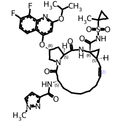 CC(C)Oc1cc(O[C@@H]2C[C@H]3C(=O)N[C@]4(C(=O)NS(=O)(=O)C5(C)CC5)C[C@H]4/C=C\CCCCC[C@H](NC(=O)c4ccn(C)n4)C(=O)N3C2)c2ccc(F)c(F)c2n1